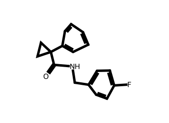 O=C(NCc1ccc(F)cc1)C1(c2ccccc2)CC1